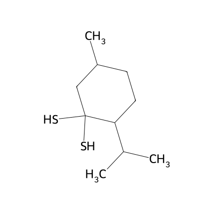 CC1CCC(C(C)C)C(S)(S)C1